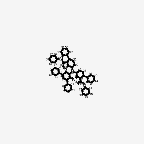 c1ccc(-c2cc(-c3ccccc3)c3c4c2-n2nc5c6c(ccc(c62)B4c2ccc4c6c(nn-3c26)N(c2ccccc2)c2ccccc2-4)-c2ccccc2N5c2ccccc2)cc1